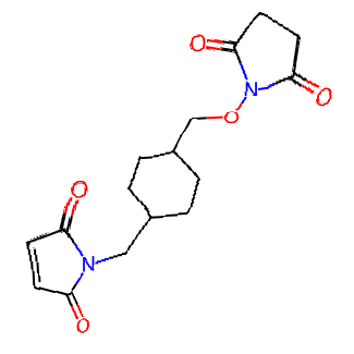 O=C1C=CC(=O)N1CC1CCC(CON2C(=O)CCC2=O)CC1